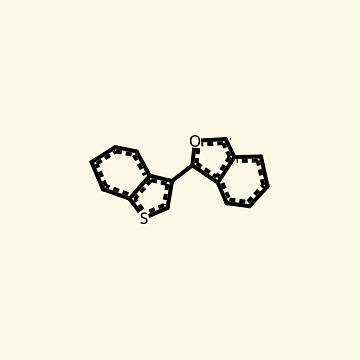 [c]1oc(-c2csc3ccccc23)c2ccccc12